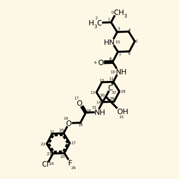 CC(C)C1CCCC(C(=O)NC23CCC(NC(=O)COc4ccc(Cl)c(F)c4)(CC2)C(O)C3)N1